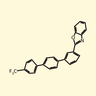 FC(F)(F)c1ccc(-c2ccc(-c3cccc(-c4nc5ccccc5o4)c3)cc2)cc1